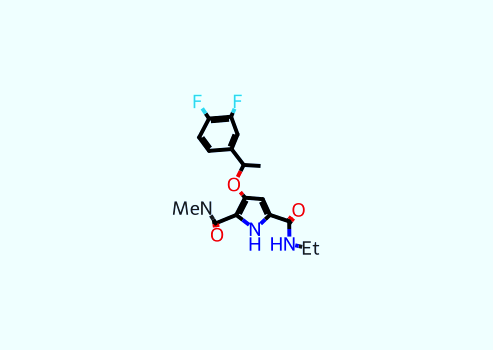 CCNC(=O)c1cc(OC(C)c2ccc(F)c(F)c2)c(C(=O)NC)[nH]1